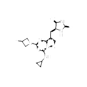 O=C1NC(=O)/C(=C/c2cnn3c(NC4CC4)nc(N4CC(F)C4)nc23)N1